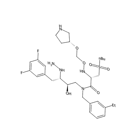 CCCCS(=O)(=O)C[C@@H](NOCO[C@@H]1CCNC1)C(=O)N(Cc1cccc(CC)c1)C[C@@H](O)[C@H](Cc1cc(F)cc(F)c1)NN